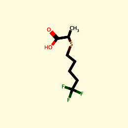 CC(SCCCCC(F)(F)F)C(=O)O